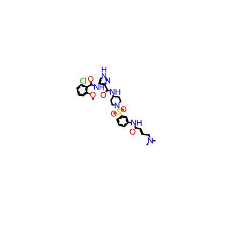 COc1cccc(Cl)c1C(=O)Nc1c[nH]nc1C(=O)NC1CCN(S(=O)(=O)c2cccc(NC(=O)/C=C/CN(C)C)c2)CC1